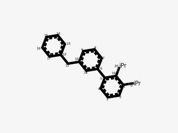 CC(C)c1cccc(-c2[c]ccc(Cc3ccccc3)c2)c1C(C)C